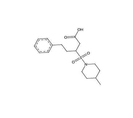 CC1CCN(S(=O)(=O)C(CCc2ccccc2)CC(=O)O)CC1